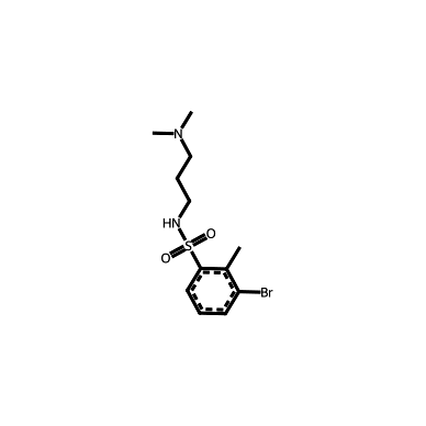 Cc1c(Br)cccc1S(=O)(=O)NCCCN(C)C